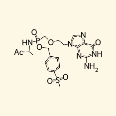 CC(=O)[C@@H](C)NP(=O)(COCCn1cnc2c(=O)[nH]c(N)nc21)OCc1ccc(S(C)(=O)=O)cc1